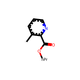 [CH2]c1cccnc1C(=O)OCCC